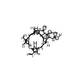 C=Cc1c(C)c2cc3nc(c4c5[nH]c(cc6nc(cc1[nH]2)C(C)=C6CC)c(C)c5C(=O)C4C(=O)OC)[C@@H](CCC(=O)OC)[C@@H]3C